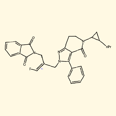 CCCC1CC1N1CCc2nn(C/C(=C/F)CN3C(=O)c4ccccc4C3=O)c(-c3ccccc3)c2C1=O